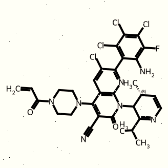 C=CC(=O)N1CCN(c2c(C#N)c(=O)n(C3C(C(C)C)=NC=C[C@H]3C)c3nc(-c4c(N)c(F)c(Cl)c(Cl)c4Cl)c(Cl)cc23)CC1